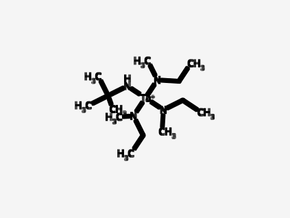 CC[N](C)[Ta+]([NH]C(C)(C)C)([N](C)CC)[N](C)CC